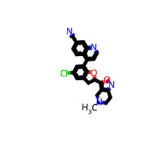 CN1CCc2noc(C3Cc4cc(Cl)cc(-c5ccnc6cc(C#N)ccc56)c4O3)c2C1